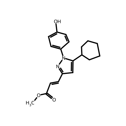 COC(=O)C=Cc1cc(C2CCCCC2)n(-c2ccc(O)cc2)n1